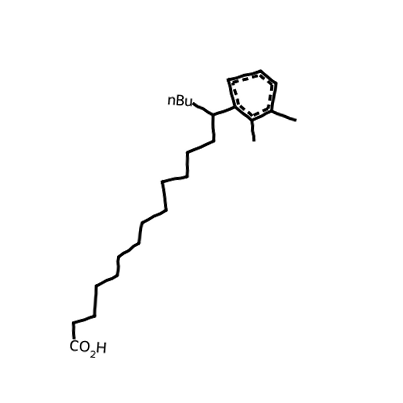 CCCCC(CCCCCCCCCCCCC(=O)O)c1cccc(C)c1C